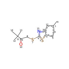 Cc1ccc2sc(SCC(=O)C(C)(C)C)nc2c1